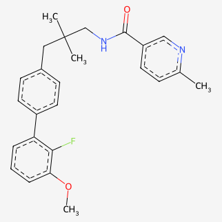 COc1cccc(-c2ccc(CC(C)(C)CNC(=O)c3ccc(C)nc3)cc2)c1F